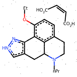 CCCN1CCc2ccc(OCC)c3c2C1Cc1c[nH]nc1-3.O=C(O)/C=C\C(=O)O